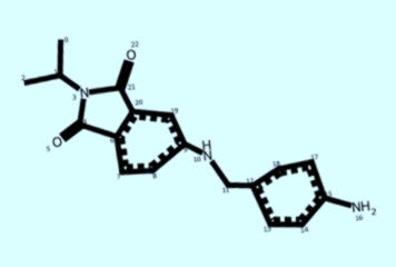 CC(C)N1C(=O)c2ccc(NCc3ccc(N)cc3)cc2C1=O